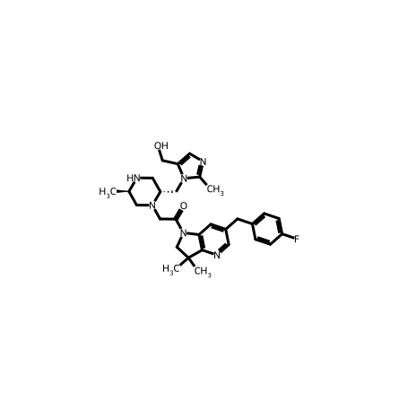 Cc1ncc(CO)n1C[C@H]1CN[C@H](C)CN1CC(=O)N1CC(C)(C)c2ncc(Cc3ccc(F)cc3)cc21